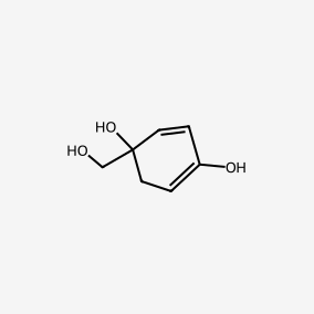 OCC1(O)C=CC(O)=CC1